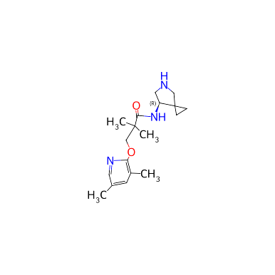 Cc1cnc(OCC(C)(C)C(=O)N[C@H]2CNCC23CC3)c(C)c1